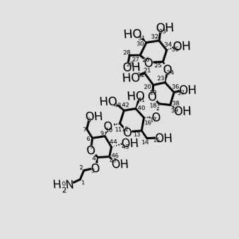 NCCO[C@H]1OC(CO)[C@H](O[C@H]2OC(CO)[C@@H](O[C@@H]3OC(CO)[C@@H](O[C@@H]4OC(CO)[C@@H](O)C(O)[C@@H]4O)C(O)[C@@H]3O)[C@H](O)C2O)[C@H](O)C1O